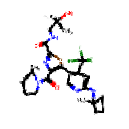 CC1CCCN1C(=O)c1nc(C(=O)NCC(C)(C)O)sc1-c1cnc(NC2(C)CCC2)cc1C(F)(F)F